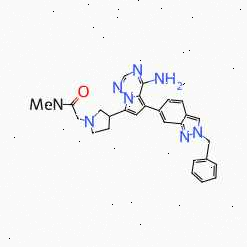 CNC(=O)CN1CCC(c2cc(-c3ccc4cn(Cc5ccccc5)nc4c3)c3c(N)ncnn23)C1